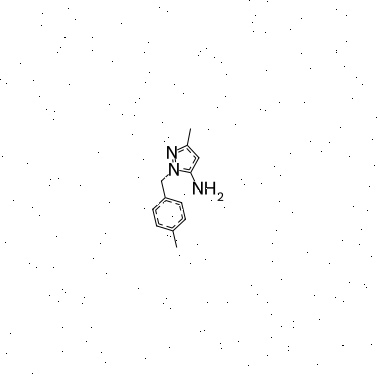 Cc1ccc(Cn2nc(C)cc2N)cc1